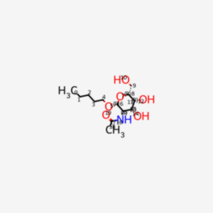 CCCCCO[C@@H]1O[C@H](CO)[C@H](O)[C@H](O)[C@@H]1NC(C)=O